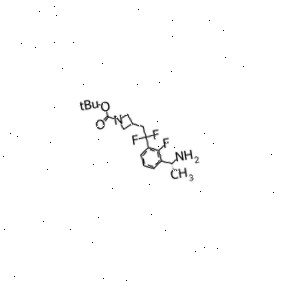 C[C@@H](N)c1cccc(C(F)(F)CC2CN(C(=O)OC(C)(C)C)C2)c1F